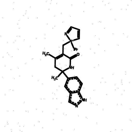 CC1=C(C[N+]2(C(C)C)C=CC=N2)C(=O)NC(C)(c2ccc3[nH]ncc3c2)C1